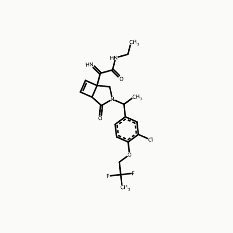 CCNC(=O)C(=N)C12C=CC1C(=O)N(C(C)c1ccc(OCC(C)(F)F)c(Cl)c1)C2